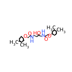 Cc1ccc(OCC(=O)NCC[C@H](O)CNC(=O)COc2ccc(C)c(C)c2)cc1C